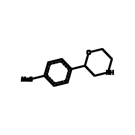 CSc1ccc(C2CNCCO2)cc1